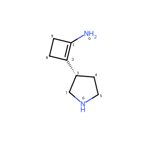 NC1=C([C@@H]2CCNC2)CC1